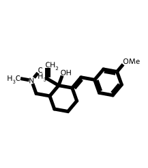 C=CC1(O)/C(=C/c2cccc(OC)c2)CCCC1CN(C)C